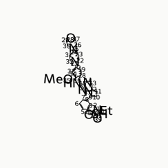 CCN(Cc1ccccc1-c1ccc2cnc(Nc3ccc(N4CCC(N5CCOCC5)CC4)cc3OC)nn12)[SH](=O)=O